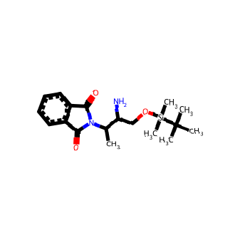 CC(C(N)CO[Si](C)(C)C(C)(C)C)N1C(=O)c2ccccc2C1=O